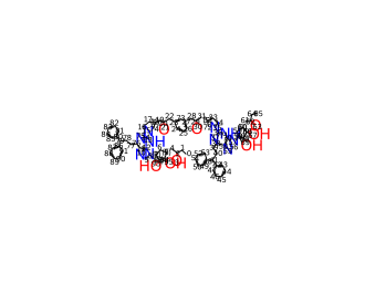 CCC(=O)C[C@H]1C[C@@H](n2cnc3c2NC(N2CC[C@@H](CC(=O)Cc4cccc(CC(=O)C[C@@H]5CCN(C6N=C(CCC(c7ccccc7)c7ccccc7)c7ncn([C@@H]8C[C@H](CC(=O)CC)[C@@H](O)[C@H]8O)c7N6)C5)c4)C2)N=C3CCC(c2ccccc2)c2ccccc2)[C@H](O)[C@@H]1O